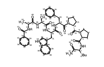 CC[C@H](C)[C@H](NC(=O)[C@@H]1CCCN1C(=O)[C@H]1CCCN1C(=O)[C@H](Cc1ccccc1)NC(=O)[C@@H](Cc1c[nH]c2ccccc12)NC(=O)[C@H](C)NC(=O)[C@H](C)NC(=O)c1ccccc1)C(N)=O